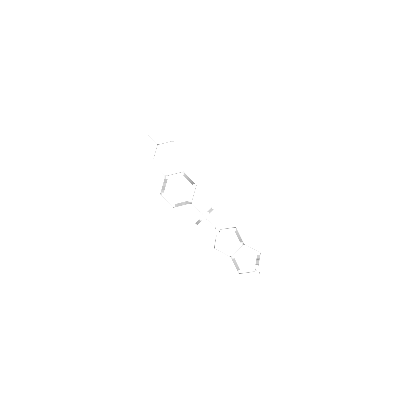 O=S(=O)(c1ccc(OC(F)F)cc1)N1C=C2C=NC=C2C1